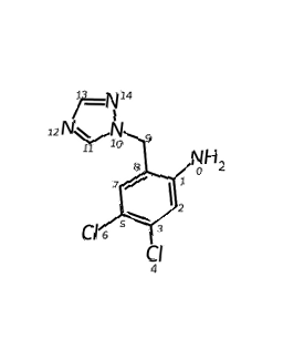 Nc1cc(Cl)c(Cl)cc1Cn1cncn1